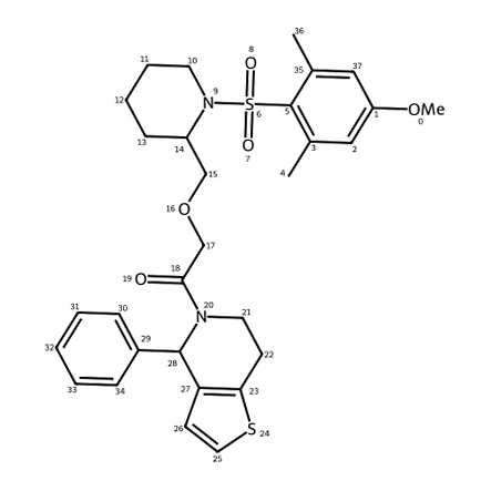 COc1cc(C)c(S(=O)(=O)N2CCCCC2COCC(=O)N2CCc3sccc3C2c2ccccc2)c(C)c1